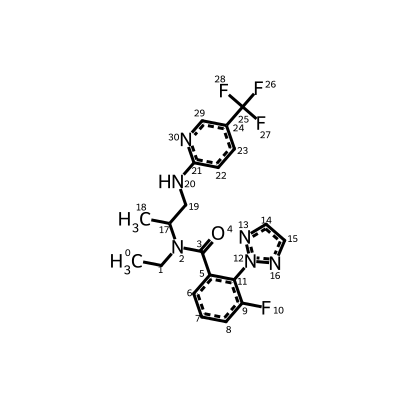 CCN(C(=O)c1cccc(F)c1-n1nccn1)C(C)CNc1ccc(C(F)(F)F)cn1